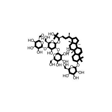 C[C@H](CC[C@@H](O[C@@H]1O[C@H](CO)[C@@H](O[C@H]2O[C@@H](CO)[C@H](O)[C@@H](O)[C@@H]2O)[C@H](O)[C@H]1O[C@H]1O[C@@H](CO)[C@H](O)[C@@H](O)[C@@H]1O)C(C)(C)O)C1CC[C@@]2(C)C3CC=C4C(CC[C@H](O[C@@H]5O[C@H](CO)[C@@H](O)[C@H](O)[C@H]5O)C4(C)C)[C@]3(C)[C@H](O)C[C@]12C